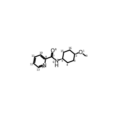 CO[C@H]1CC[C@@H](NC(=O)c2ccccn2)CC1